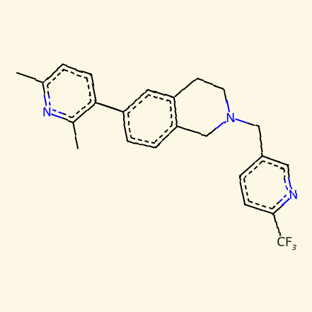 Cc1ccc(-c2ccc3c(c2)CCN(Cc2ccc(C(F)(F)F)nc2)C3)c(C)n1